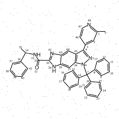 Cc1cc(-c2nn(C(c3ccccc3)(c3ccccc3)c3ccccc3)c3cc4[nH]c(C(=O)NC(C)c5ccccc5)nc4cc23)ccn1